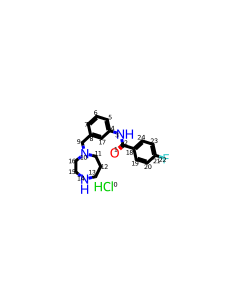 Cl.O=C(Nc1cccc(CN2CCCNCC2)c1)c1ccc(F)cc1